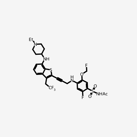 CCN1CCC(Nc2cccc3c(CC(F)(F)F)c(C#CCNc4cc(F)c(S(=O)(=O)NC(C)=O)cc4OCF)sc23)CC1